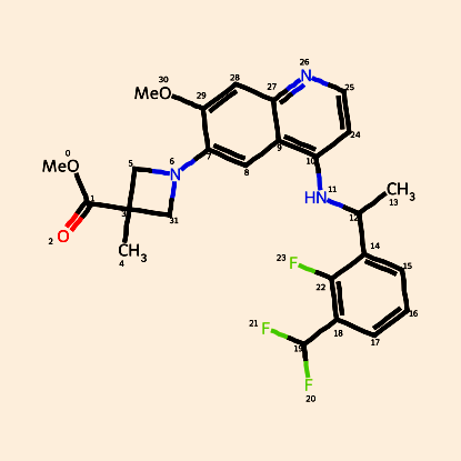 COC(=O)C1(C)CN(c2cc3c(NC(C)c4cccc(C(F)F)c4F)ccnc3cc2OC)C1